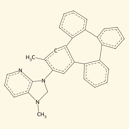 Cc1cc2c(cc1N1CN(C)c3cccnc31)-c1ccccc1-c1ccccc1-c1ccccc1-2